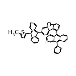 Cc1ccc(-c2c3ccccc3c(-c3ccc4c(c3)oc3cccc(-c5c6ccccc6c(-c6ccccc6)c6ccccc56)c34)c3ccccc23)s1